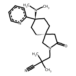 CN(C)[C@]1(c2ccccn2)CC[C@]2(CC1)CC(=O)N(CC(C)(C)C#N)C2